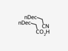 CCCCCCCCCCCC#N.CCCCCCCCCCCC(=O)O